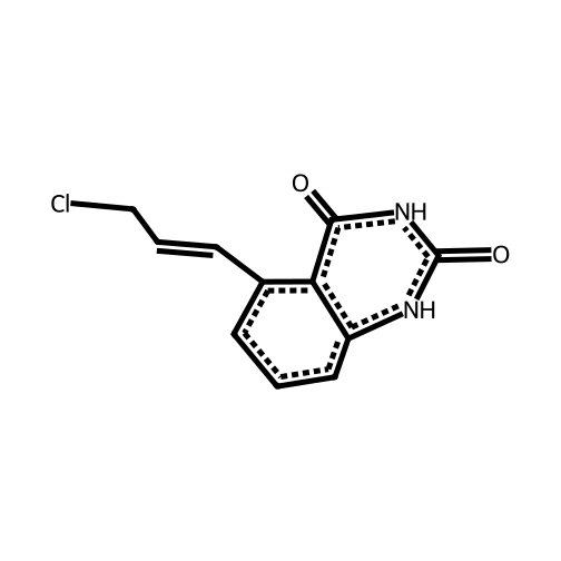 O=c1[nH]c(=O)c2c(C=CCCl)cccc2[nH]1